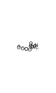 CC(C)c1ncc2c(=O)n(C)c(Oc3ccc(OC[C@H]4CCO4)cc3)cn12